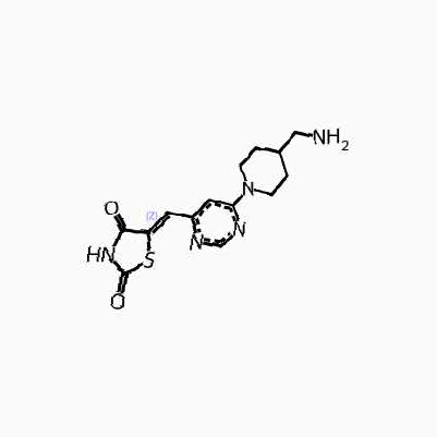 NCC1CCN(c2cc(/C=C3\SC(=O)NC3=O)ncn2)CC1